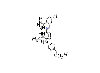 C[C@H](NC(=O)/C=C/c1cc(Cl)ccc1-c1nnn[nH]1)C(=O)Nc1ccc(CC(=O)O)cc1